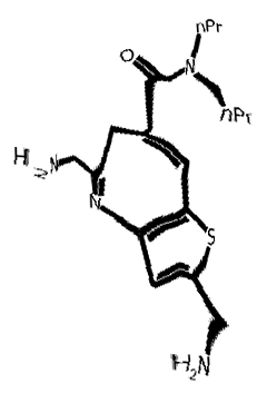 CCCN(CCC)C(=O)C1=Cc2sc(CN)cc2N=C(N)C1